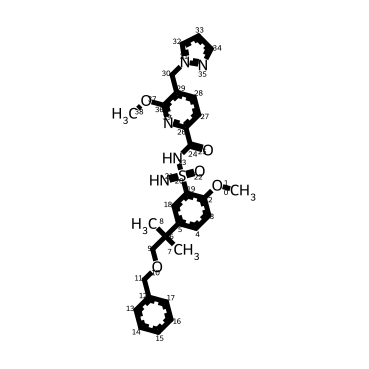 COc1ccc(C(C)(C)COCc2ccccc2)cc1S(=N)(=O)NC(=O)c1ccc(Cn2cccn2)c(OC)n1